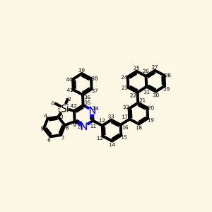 C[Si]1(C)c2ccccc2-c2nc(-c3cccc(-c4cccc(-c5cccc6ccccc56)c4)c3)nc(-c3ccccc3)c21